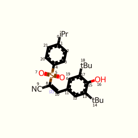 CC(C)c1ccc(S(=O)(=O)/C(C#N)=C\c2cc(C(C)(C)C)c(O)c(C(C)(C)C)c2)cc1